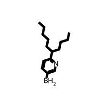 Bc1ccc(C(CCCC)CCCCC)nc1